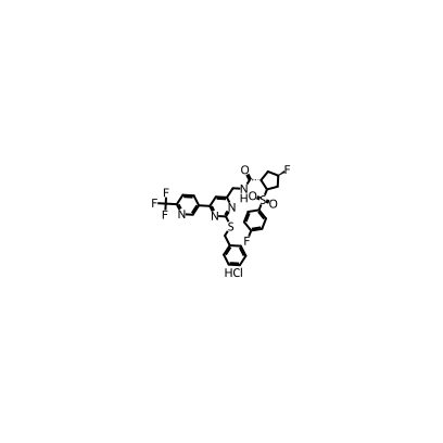 Cl.O=C(NCc1cc(-c2ccc(C(F)(F)F)nc2)nc(SCc2ccccc2)n1)[C@@H]1C[C@@H](F)CC1S(=O)(=O)c1ccc(F)cc1